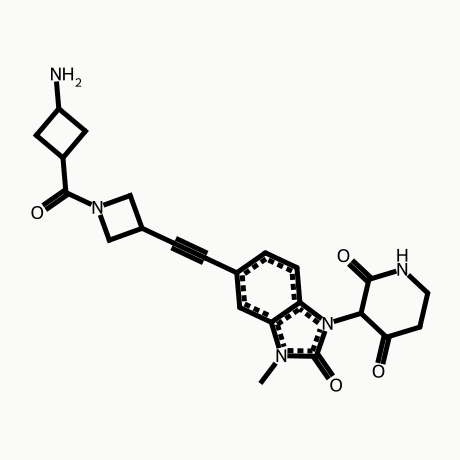 Cn1c(=O)n(C2C(=O)CCNC2=O)c2ccc(C#CC3CN(C(=O)C4CC(N)C4)C3)cc21